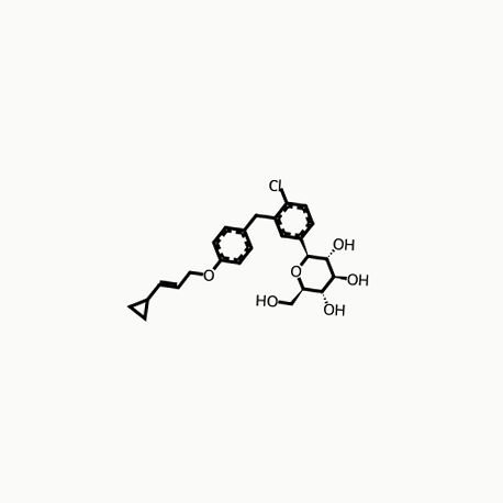 OC[C@H]1O[C@@H](c2ccc(Cl)c(Cc3ccc(OCC=CC4CC4)cc3)c2)[C@H](O)[C@@H](O)[C@@H]1O